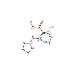 COC(=O)c1c(C)ccnc1OC1CCCC1